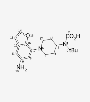 CC(C)(C)N(C(=O)O)C1CCN(c2cc(N)cc3ccoc23)CC1